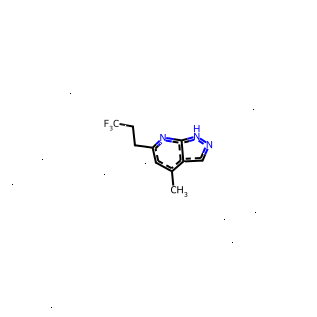 Cc1cc(CCC(F)(F)F)nc2[nH]ncc12